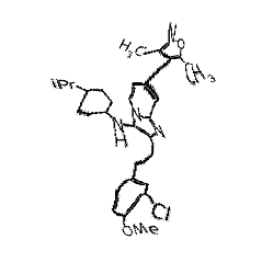 COc1ccc(CCc2nc3cc(-c4c(C)noc4C)ccn3c2NC2CCC(C(C)C)CC2)cc1Cl